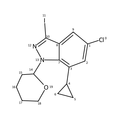 Clc1cc(C2CC2)c2c(c1)c(I)nn2C1CCCCO1